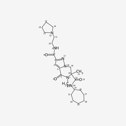 CN1C(=O)c2cc(C(=O)NCCN3CCCC3)nn2CC1(C)C(=O)NC1CCCCCC1